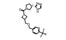 O=C(N1CC(COCc2ccc(C(F)(F)F)nc2)C1)N1CC[C@H](c2nnc[nH]2)C1